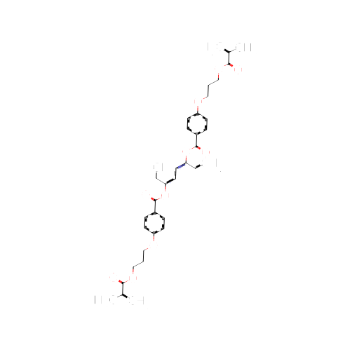 C=C/C(=C\C=C(/CC)OC(=O)c1ccc(OCCCOC(=O)C(=C)C)cc1)OC(=O)c1ccc(OCCCOC(=O)C(=C)C)cc1